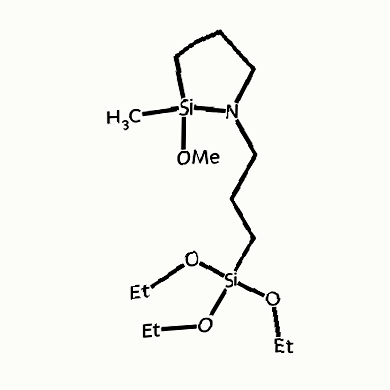 CCO[Si](CCCN1CCC[Si]1(C)OC)(OCC)OCC